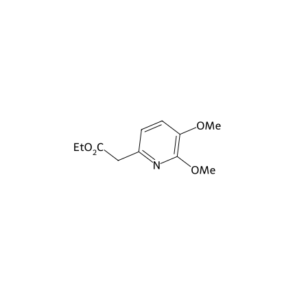 CCOC(=O)Cc1ccc(OC)c(OC)n1